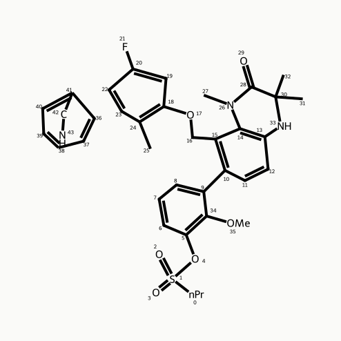 CCCS(=O)(=O)Oc1cccc(-c2ccc3c(c2COc2cc(F)ccc2C)N(C)C(=O)C(C)(C)N3)c1OC.c1cc2ccc1CN2